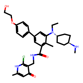 CCN(c1cc(-c2ccc(OCCO)cc2)cc(C(=O)NCc2c(Cl)[nH]c(C)cc2=O)c1C)[C@H]1CC[C@H](NC)CC1